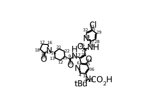 CC(C)(C)N(C(=O)O)c1cnc2c(NC(=O)[C@H]3CC[C@H](N4CCCC4=O)CC3)c(C(=O)Nc3ccc(Cl)cn3)oc2c1